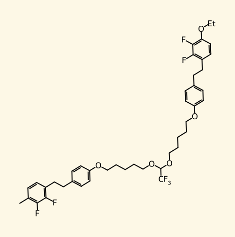 CCOc1ccc(CCc2ccc(OCCCCCOC(OCCCCCOc3ccc(CCc4ccc(C)c(F)c4F)cc3)C(F)(F)F)cc2)c(F)c1F